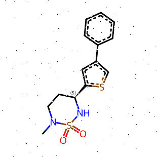 CN1CC[C@@H](c2cc(-c3ccccc3)cs2)NS1(=O)=O